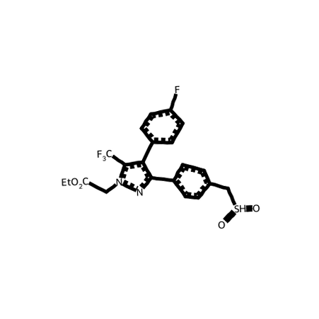 CCOC(=O)Cn1nc(-c2ccc(C[SH](=O)=O)cc2)c(-c2ccc(F)cc2)c1C(F)(F)F